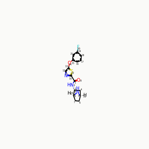 O=C(N[C@@H]1C[C@H]2CC[C@@H]1N2)c1ncc(Oc2cccc(F)c2)s1